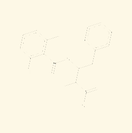 NC(=O)C(O)C(Cc1ccccc1)NC(=O)c1c(Cl)cccc1Cl